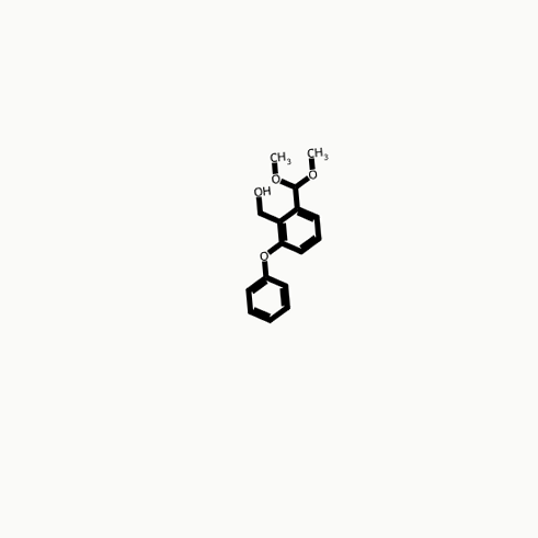 COC(OC)c1cccc(Oc2ccccc2)c1CO